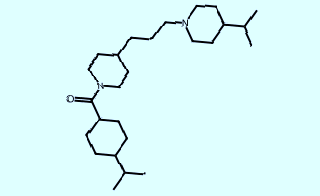 CC(C)C1CCC(C(=O)N2CCC(CCCN3CCC(C(C)C)CC3)CC2)CC1